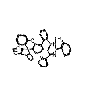 CN1C(c2ccccc2-c2cccc3c2Oc2ccccc2C32c3ccccc3-c3ccccc32)=CC(c2ccccn2)=NC1c1ccccc1